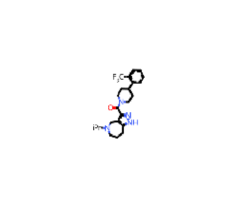 CC(C)N1CCCc2[nH]nc(C(=O)N3CCC(c4ccccc4C(F)(F)F)CC3)c2C1